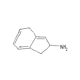 NC1C=C2CC=CC=C2C1